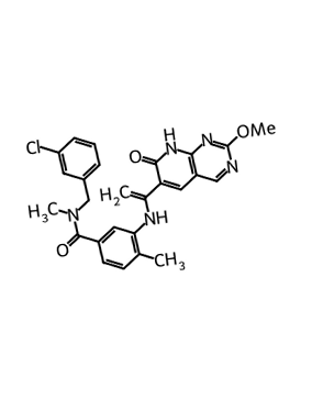 C=C(Nc1cc(C(=O)N(C)Cc2cccc(Cl)c2)ccc1C)c1cc2cnc(OC)nc2[nH]c1=O